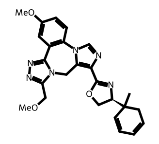 COCc1nnc2n1Cc1c(C3=N[C@@H](C4(C)C=CC=CC4)CO3)ncn1-c1ccc(OC)cc1-2